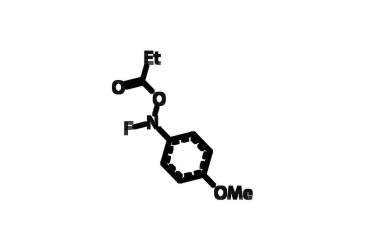 CCC(=O)ON(F)c1ccc(OC)cc1